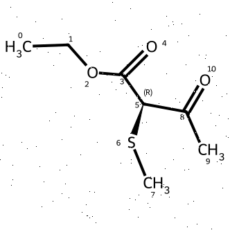 CCOC(=O)[C@H](SC)C(C)=O